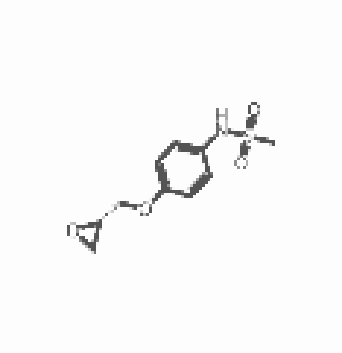 CS(=O)(=O)Nc1ccc(OC[C@@H]2CO2)cc1